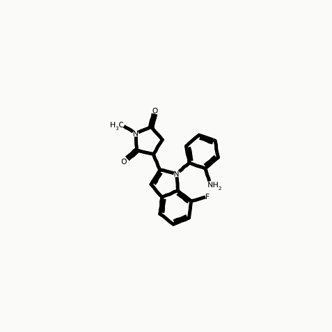 CN1C(=O)CC(c2cc3cccc(F)c3n2-c2ccccc2N)C1=O